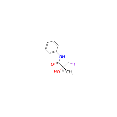 C[C@](O)(CI)C(=O)Nc1ccccc1